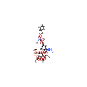 CCN(COCCc1ccccc1)C(=O)OCc1ccc(O[C@@H]2OC(C(=O)OC)C(OC(C)=O)[C@H](OC(C)=O)C2OC(C)=O)c(N)c1